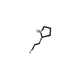 ICCC1CCCN1